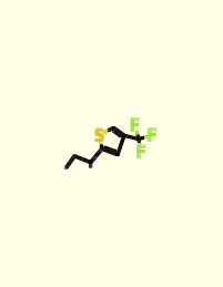 CC[CH]c1cc(C(F)(F)F)cs1